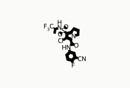 C[C@H](NS(=O)(=O)c1c(Cl)c(C(=O)Nc2ccc(F)c(C#N)c2)n2c1C=CC2)C(F)(F)F